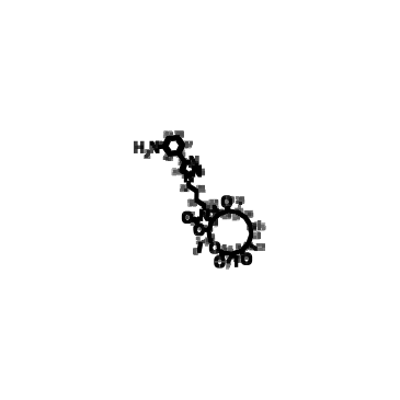 CC[C@H]1OC(=O)[C@@](C)(F)C(=O)[C@H](C)C[C@@H](C)C[C@@H](C)C(=O)[C@H](C)[C@H]2C1OC(=O)N2CCCCn1cc(-c2cccc(N)c2)nn1